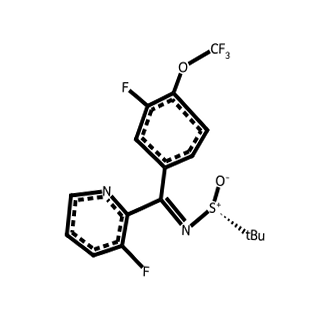 CC(C)(C)[S@@+]([O-])/N=C(\c1ccc(OC(F)(F)F)c(F)c1)c1ncccc1F